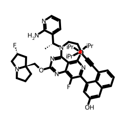 CC(C)[Si](C#Cc1cccc2cc(O)cc(-c3nc4c5c(nc(OC[C@@]67CCCN6C[C@H](F)C7)nc5c3F)N([C@H](C)c3cccnc3N)CCO4)c12)(C(C)C)C(C)C